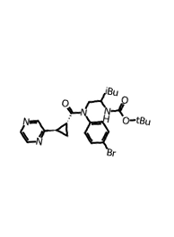 CCC(C)C(CN(C(=O)[C@@H]1C[C@H]1c1cnccn1)c1ccc(Br)cc1)NC(=O)OC(C)(C)C